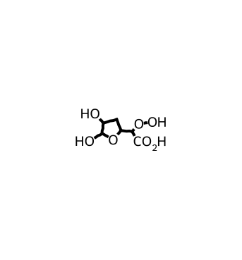 O=C(O)C(OO)C1CC(O)C(O)O1